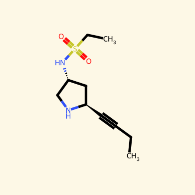 CCC#C[C@@H]1C[C@@H](NS(=O)(=O)CC)CN1